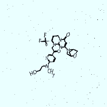 CN(CCO)c1ccc(C(=O)CN2c3nc(N4CC5CC4CO5)cc(=O)n3CC[C@H]2C(F)(F)F)cn1